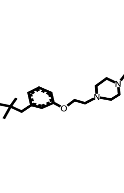 CN1CCN(CCOc2cccc(CC(C)(C)C)c2)CC1